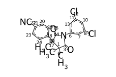 CC1(C)C(=O)N(c2cc(Cl)cc(Cl)c2)C(=O)[C@@]1(C)c1ccc(C#N)cc1